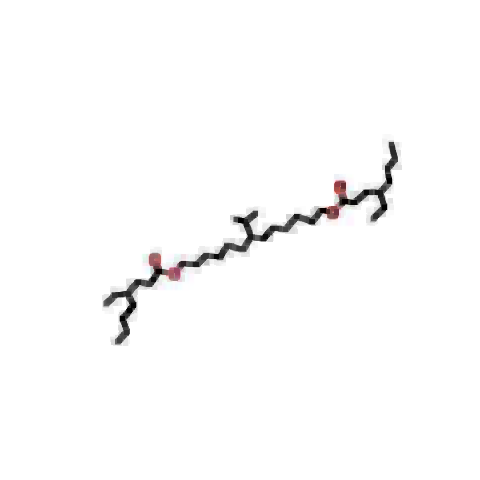 CCCCC(CC)CCC(=O)OCCCCCCC(CCCCCCOC(=O)CCC(CC)CCCC)C(C)C